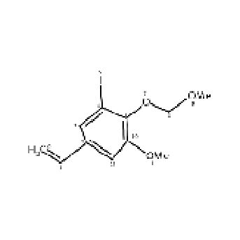 C=Cc1cc(I)c(OCOC)c(OC)c1